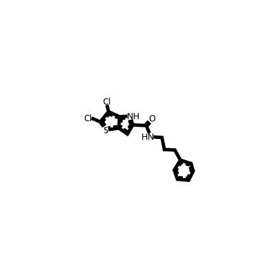 O=C(NCCCc1ccccc1)c1cc2sc(Cl)c(Cl)c2[nH]1